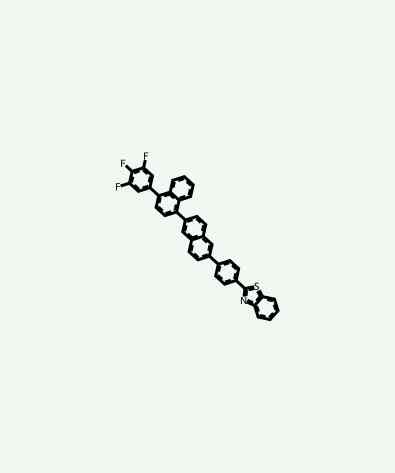 Fc1cc(-c2ccc(-c3ccc4cc(-c5ccc(-c6nc7ccccc7s6)cc5)ccc4c3)c3ccccc23)cc(F)c1F